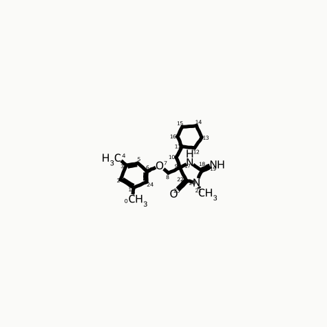 Cc1cc(C)cc(OCC2(CC3CCCCC3)NC(=N)N(C)C2=O)c1